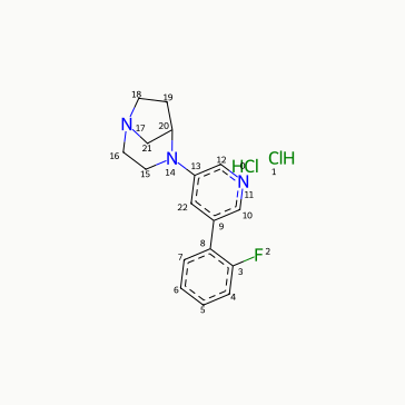 Cl.Cl.Fc1ccccc1-c1cncc(N2CCN3CCC2C3)c1